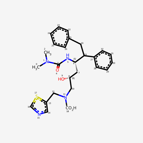 CN(C)C(=O)N[C@@H](C[C@@H](O)CN(Cc1cncs1)C(=O)O)C(Cc1ccccc1)c1ccccc1